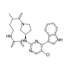 C=CC(=C)NCCC(C)C(=C)N1CC[C@@H](Nc2ncc(Cl)c(-c3c[nH]c4ccccc34)n2)C1